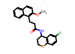 COc1ccc2ccccc2c1CCC(=O)NC1CCSc2ccc(Cl)cc21